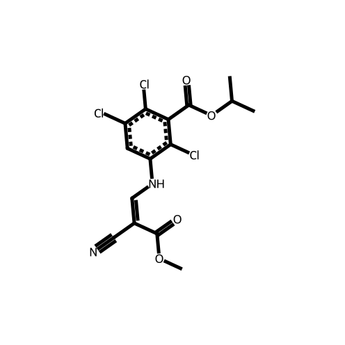 COC(=O)C(C#N)=CNc1cc(Cl)c(Cl)c(C(=O)OC(C)C)c1Cl